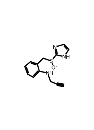 C#CCNc1ccccc1C[S+]([O-])c1ncc[nH]1